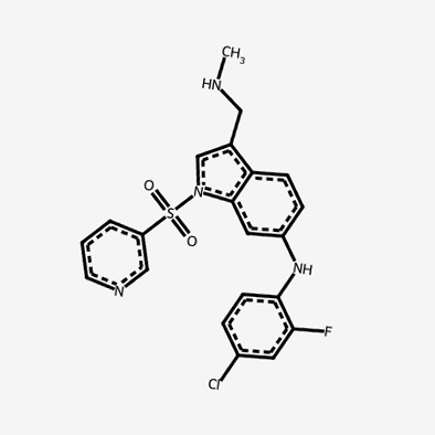 CNCc1cn(S(=O)(=O)c2cccnc2)c2cc(Nc3ccc(Cl)cc3F)ccc12